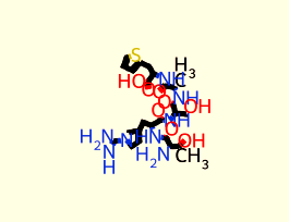 CC(NC(=O)C(CO)NC(=O)C(CC1=CCN(C(=N)N)C1)NC(=O)C(N)C(C)O)C(=O)NC(Cc1cccs1)C(=O)O